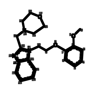 COc1ccccc1OCCn1c(CN2CCOCC2)nc2ccccc21